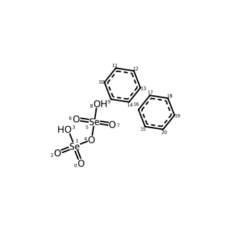 O=[Se](=O)(O)O[Se](=O)(=O)O.c1ccccc1.c1ccccc1